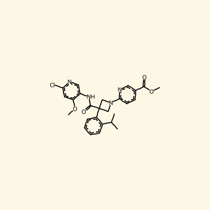 COC(=O)c1ccc(N2CC(C(=O)Nc3cnc(Cl)cc3OC)(c3ccccc3C(C)C)C2)nc1